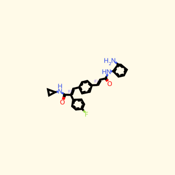 Nc1ccccc1NC(=O)/C=C/c1ccc(/C=C(/C(=O)NC2CC2)c2ccc(F)cc2)cc1